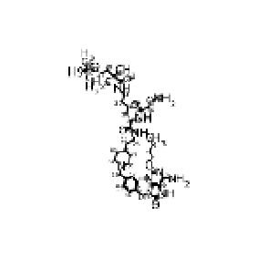 CCCCOc1nc(N)c2[nH]c(=O)n(Cc3ccc(CN4CCC(CCNC(=O)[C@H](CCCCNC(=O)C(C)(C)CCOC(C)(C)S)NC(=O)CON)CC4)cc3)c2n1